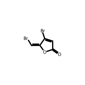 O=C1C=C(Br)C(=CBr)O1